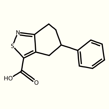 O=C(O)c1snc2c1CC(c1ccccc1)CC2